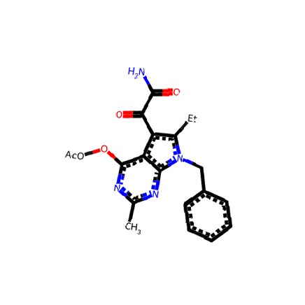 CCc1c(C(=O)C(N)=O)c2c(OOC(C)=O)nc(C)nc2n1Cc1ccccc1